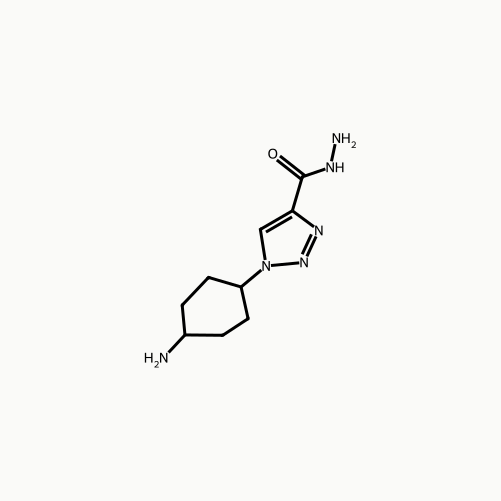 NNC(=O)c1cn(C2CCC(N)CC2)nn1